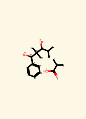 CC(C)C(=O)O.CC(C)C(O)C(C)(C)C(O)c1ccccc1